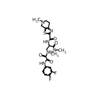 CN1CCc2nc(C(=O)NC(CNC(=O)C(=O)Nc3ccc(F)c(F)c3)C(=O)N(C)C)sc2C1